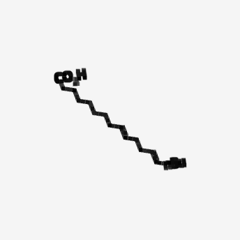 CCCCC=CCCC=CCCCCCCCC(=O)O